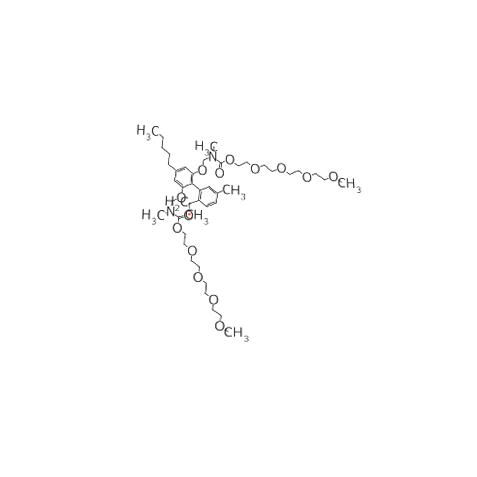 C=C(C)c1ccc(C)cc1-c1c(OCN(C)C(=O)OCCOCCOCCOCCOC)cc(CCCCC)cc1OCN(C)C(=O)OCCOCCOCCOCCOC